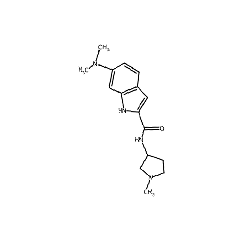 CN1CCC(NC(=O)c2cc3ccc(N(C)C)cc3[nH]2)C1